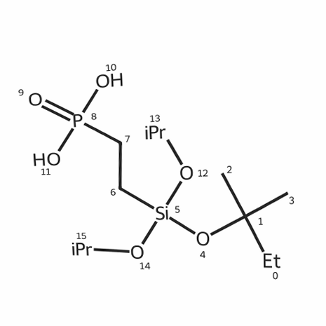 CCC(C)(C)O[Si](CCP(=O)(O)O)(OC(C)C)OC(C)C